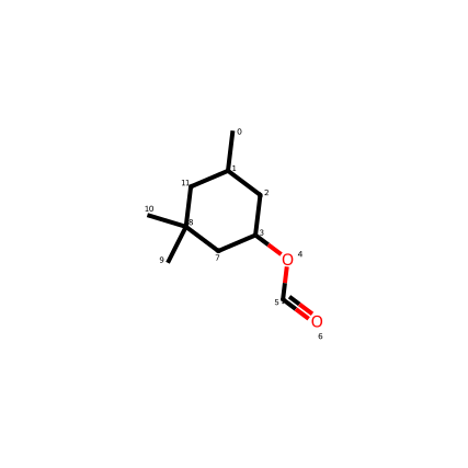 CC1CC(O[C]=O)CC(C)(C)C1